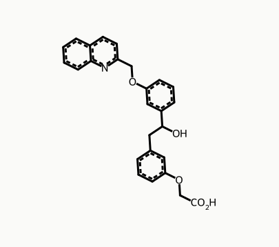 O=C(O)COc1cccc(CC(O)c2cccc(OCc3ccc4ccccc4n3)c2)c1